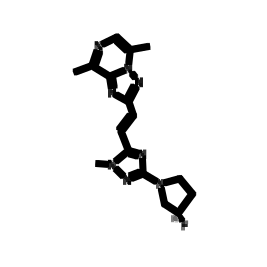 Cc1ncc(C)n2nc(C=Cc3nc(N4CC[C@@H](F)C4)nn3C)nc12